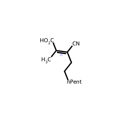 CCCCCCC/C(C#N)=C(\C)C(=O)O